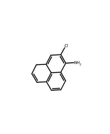 Nc1c(Cl)cc2c3c(cccc13)C=CC2